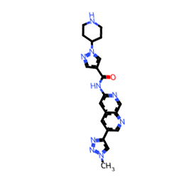 Cn1cc(-c2cnc3cnc(NC(=O)c4cnn(C5CCNCC5)c4)cc3c2)nn1